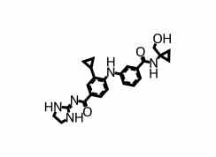 O=C(N=C1NCCN1)c1ccc(Nc2cccc(C(=O)NC3(CO)CC3)c2)c(C2CC2)c1